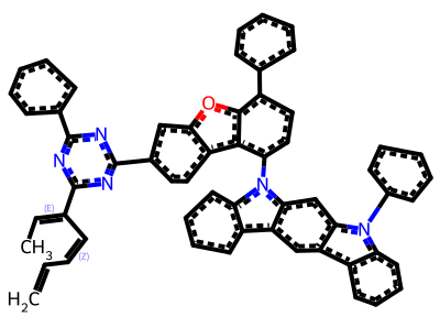 C=C/C=C\C(=C/C)c1nc(-c2ccccc2)nc(-c2ccc3c(c2)oc2c(-c4ccccc4)ccc(-n4c5ccccc5c5cc6c7ccccc7n(-c7ccccc7)c6cc54)c23)n1